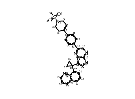 CS(=O)(=O)N1CC=C(c2ccc(-c3cnc4ncc(C5(c6cccc7cccnc67)CC5)n4n3)cc2)CC1